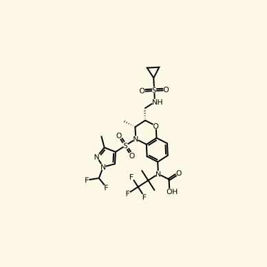 Cc1nn(C(F)F)cc1S(=O)(=O)N1c2cc(N(C(=O)O)C(C)(C)C(F)(F)F)ccc2O[C@@H](CNS(=O)(=O)C2CC2)[C@H]1C